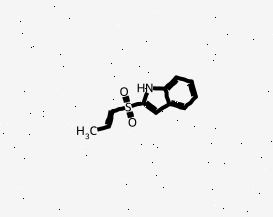 CC=CS(=O)(=O)c1cc2ccccc2[nH]1